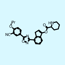 CC(C)Oc1ccc(-c2nc(-c3cccc4c3CC=C4OC(=O)C3CCCCN3)no2)cc1C#N